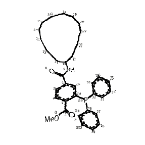 COC(=O)c1ccc(C(=O)NC2CCCCCCCCCCCC2)cc1P(c1ccccc1)c1ccccc1